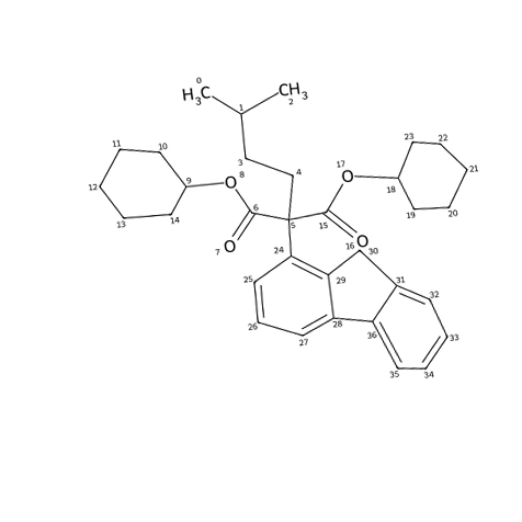 CC(C)CCC(C(=O)OC1CCCCC1)(C(=O)OC1CCCCC1)c1cccc2c1Cc1ccccc1-2